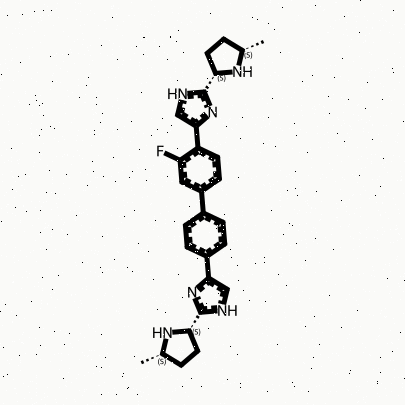 C[C@H]1CC[C@@H](c2nc(-c3ccc(-c4ccc(-c5c[nH]c([C@@H]6CC[C@H](C)N6)n5)c(F)c4)cc3)c[nH]2)N1